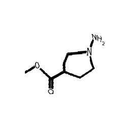 COC(=O)C1CCN(N)C1